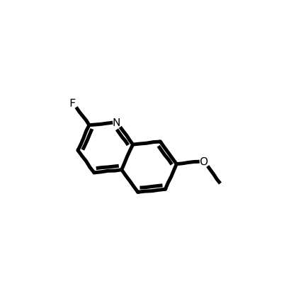 COc1ccc2ccc(F)nc2c1